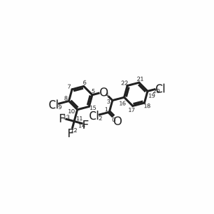 O=C(Cl)C(Oc1ccc(Cl)c(C(F)(F)F)c1)c1ccc(Cl)cc1